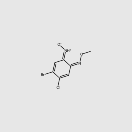 CO/N=C1/C=C(Cl)C(Br)=C/C1=[NH+]\[O-]